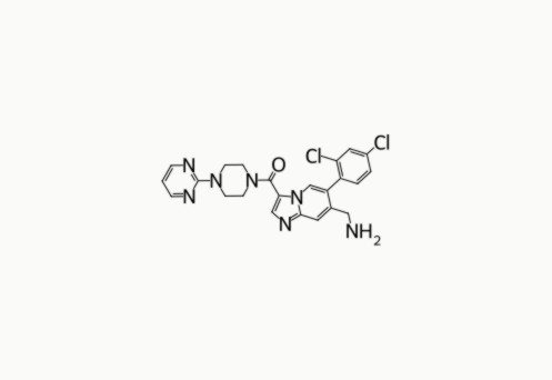 NCc1cc2ncc(C(=O)N3CCN(c4ncccn4)CC3)n2cc1-c1ccc(Cl)cc1Cl